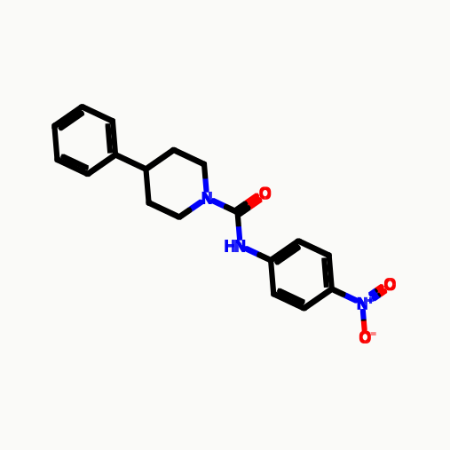 O=C(Nc1ccc([N+](=O)[O-])cc1)N1CCC(c2ccccc2)CC1